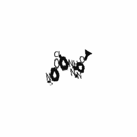 Clc1cc(Nc2ncnc3ccc(OCC4CC4)cc23)ccc1Oc1ccc2scnc2c1